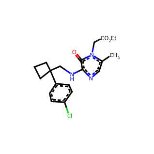 CCOC(=O)Cn1c(C)cnc(NCC2(c3ccc(Cl)cc3)CCC2)c1=O